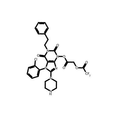 O=C(COC(=O)C(F)(F)F)On1c(=O)n(CCc2ccccc2)c(=O)c2c1nc(N1CCNCC1)n2-c1ccccc1Cl